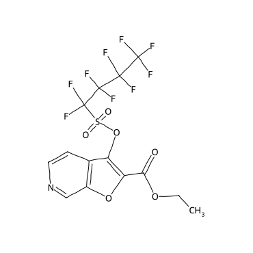 CCOC(=O)c1oc2cnccc2c1OS(=O)(=O)C(F)(F)C(F)(F)C(F)(F)C(F)(F)F